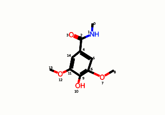 CNC(=O)c1cc(OC)c(O)c(OC)c1